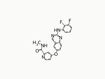 CNC(=O)c1cc(Oc2ccc3nc(Nc4cccc(F)c4F)ncc3c2)ccn1